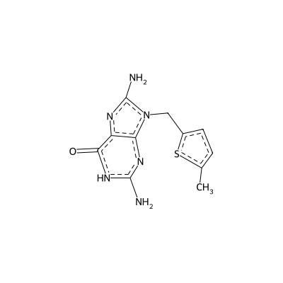 Cc1ccc(Cn2c(N)nc3c(=O)[nH]c(N)nc32)s1